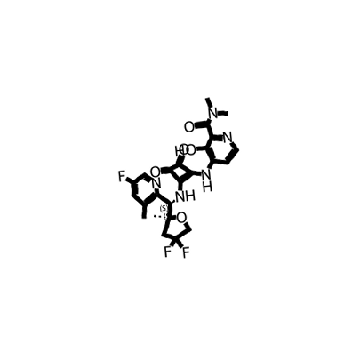 Cc1cc(F)cnc1[C@H](Nc1c(Nc2ccnc(C(=O)N(C)C)c2O)c(=O)c1=O)[C@]1(C)CC(F)(F)CO1